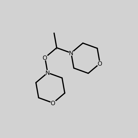 C[C](ON1CCOCC1)N1CCOCC1